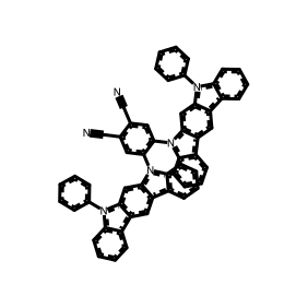 N#Cc1cc(-n2c3ccccc3c3cc4c5ccccc5n(-c5ccccc5)c4cc32)c(-n2c3ccccc3c3cc4c5ccccc5n(-c5ccccc5)c4cc32)cc1C#N